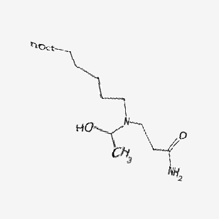 CCCCCCCCCCCCCN(CCC(N)=O)C(C)O